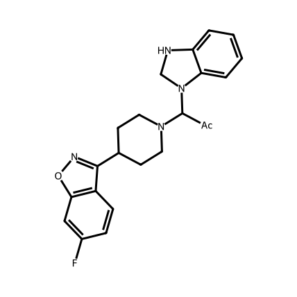 CC(=O)C(N1CCC(c2noc3cc(F)ccc23)CC1)N1CNc2ccccc21